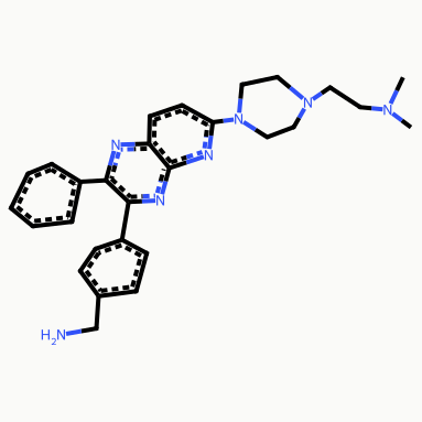 CN(C)CCN1CCN(c2ccc3nc(-c4ccccc4)c(-c4ccc(CN)cc4)nc3n2)CC1